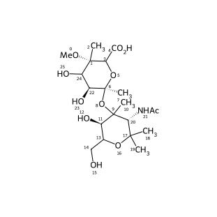 CO[C@]1(C)C(C(=O)O)O[C@@](C)(OC2(C)[C@H](O)C(CO)OC(C)(C)[C@H]2NC(C)=O)[C@@H](O)C1O